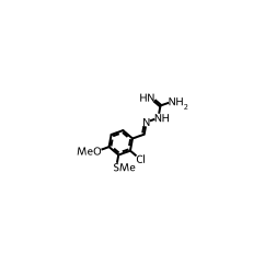 COc1ccc(/C=N/NC(=N)N)c(Cl)c1SC